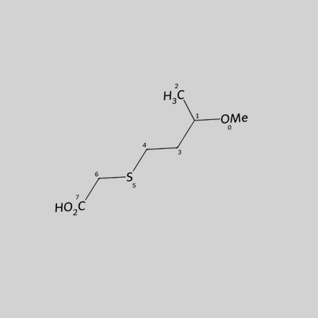 COC(C)CCSCC(=O)O